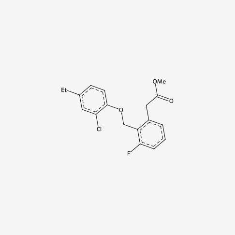 CCc1ccc(OCc2c(F)cccc2CC(=O)OC)c(Cl)c1